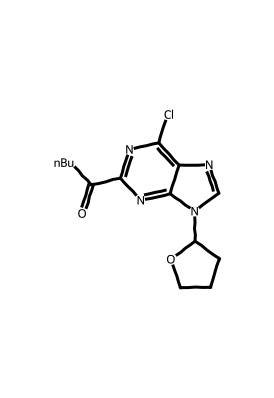 CCCCC(=O)c1nc(Cl)c2ncn(C3CCCO3)c2n1